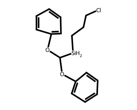 ClCCC[SiH2]C(Oc1ccccc1)Oc1ccccc1